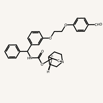 O=Cc1ccc(OCCOc2cccc(C(NC(=O)O[C@H]3CN4CCC3CC4)c3ccccc3)c2)cc1